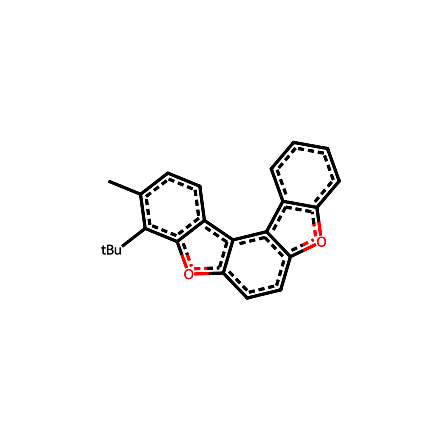 Cc1ccc2c(oc3ccc4oc5ccccc5c4c32)c1C(C)(C)C